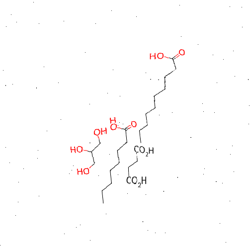 CCCCCCCC(=O)O.CCCCCCCCCC(=O)O.O=C(O)CCC(=O)O.OCC(O)CO